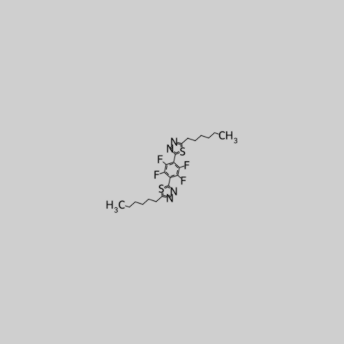 CCCCCCc1nnc(-c2c(F)c(F)c(-c3nnc(CCCCCC)s3)c(F)c2F)s1